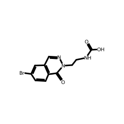 O=C(O)NCCn1ncc2cc(Br)ccc2c1=O